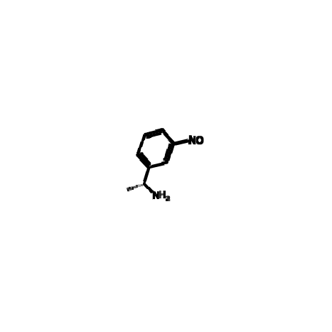 C[C@@H](N)c1cccc(N=O)c1